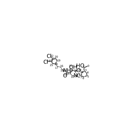 C=C(O)c1cccc(CN2CC(C(=O)NCCCc3ccc(Cl)c(Cl)c3)=C(O)C2=O)c1